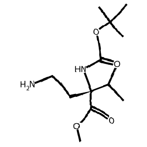 COC(=O)[C@](CCN)(NC(=O)OC(C)(C)C)C(C)C